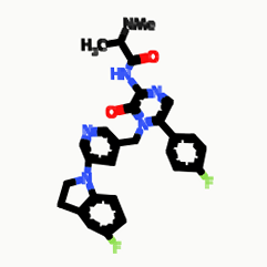 CNC(C)C(=O)Nc1ncc(-c2ccc(F)cc2)n(Cc2cncc(N3CCc4cc(F)ccc43)c2)c1=O